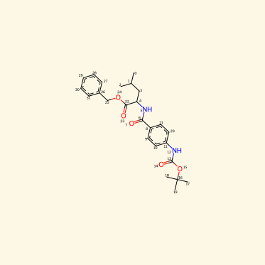 CC(C)CC(NC(=O)c1ccc(NC(=O)OC(C)(C)C)cc1)C(=O)OCc1ccccc1